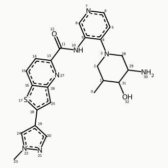 CC1CN(c2ccncc2NC(=O)c2ccc3sc(-c4cnn(C)c4)cc3n2)CC(N)C1O